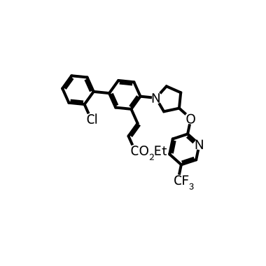 CCOC(=O)C=Cc1cc(-c2ccccc2Cl)ccc1N1CCC(Oc2ccc(C(F)(F)F)cn2)C1